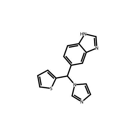 c1csc(C(c2ccc3[nH]cnc3c2)n2ccnc2)c1